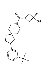 CC(C)(C)c1cccc(C2CCC3(CCN(C(=O)[C@H]4C[C@@](C)(O)C4)CC3)C2)c1